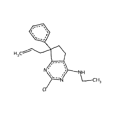 C=CCC1(c2ccccc2)CCc2c(NCC)nc(Cl)nc21